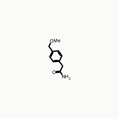 COCc1ccc(CC(N)=O)cc1